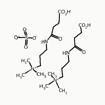 C[N+](C)(C)CCCNC(=O)CCC(=O)O.C[N+](C)(C)CCCNC(=O)CCC(=O)O.O=S(=O)([O-])[O-]